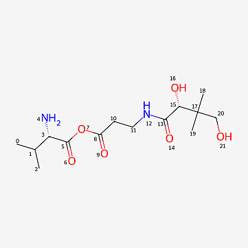 CC(C)[C@H](N)C(=O)OC(=O)CCNC(=O)[C@H](O)C(C)(C)CO